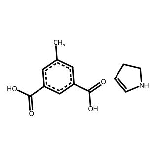 C1=CNCC1.Cc1cc(C(=O)O)cc(C(=O)O)c1